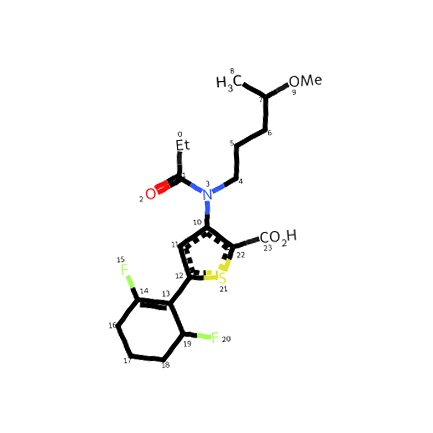 CCC(=O)N(CCCC(C)OC)c1cc(C2=C(F)CCCC2F)sc1C(=O)O